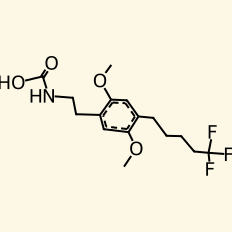 COc1cc(CCNC(=O)O)c(OC)cc1CCCCC(F)(F)F